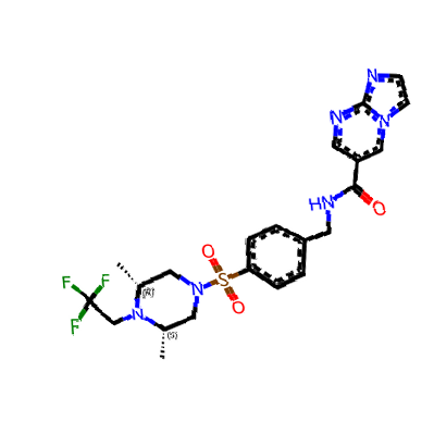 C[C@@H]1CN(S(=O)(=O)c2ccc(CNC(=O)c3cnc4nccn4c3)cc2)C[C@H](C)N1CC(F)(F)F